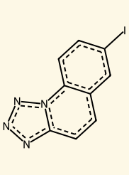 Ic1ccc2c(ccc3nnnn32)c1